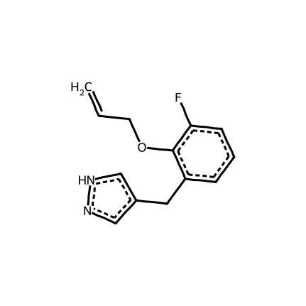 C=CCOc1c(F)cccc1Cc1cn[nH]c1